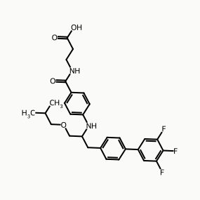 CC(C)COCC(Cc1ccc(-c2cc(F)c(F)c(F)c2)cc1)Nc1ccc(C(=O)NCCC(=O)O)cc1